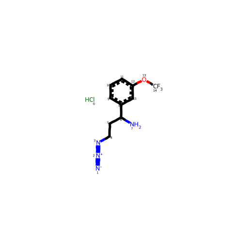 Cl.[N-]=[N+]=NCCC(N)c1cccc(OC(F)(F)F)c1